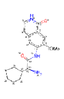 COc1cc2c(=O)[nH]ccc2cc1NC(=O)[C@@H](N)C1CCCCC1